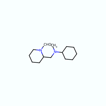 CN(CC1CCCCN1C=O)C1CCCCC1